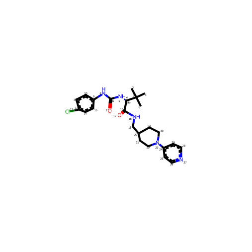 CC(C)(C)[C@@H](NC(=O)Nc1ccc(Cl)cc1)C(=O)NCC1CCN(c2ccncc2)CC1